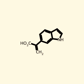 C=C(C(=O)O)c1ccc2cc[nH]c2c1